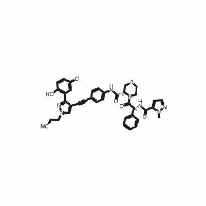 Cn1nccc1C(=O)N[C@@H](C(=O)N1CCOC[C@H]1C(=O)Nc1ccc(C#Cc2cn(CCC#N)nc2-c2cc(Cl)ccc2O)cc1)c1ccccc1